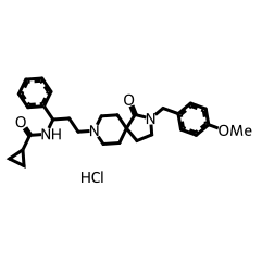 COc1ccc(CN2CCC3(CCN(CCC(NC(=O)C4CC4)c4ccccc4)CC3)C2=O)cc1.Cl